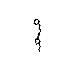 ICCc1cc(C#CCCCc2ccccc2)cs1